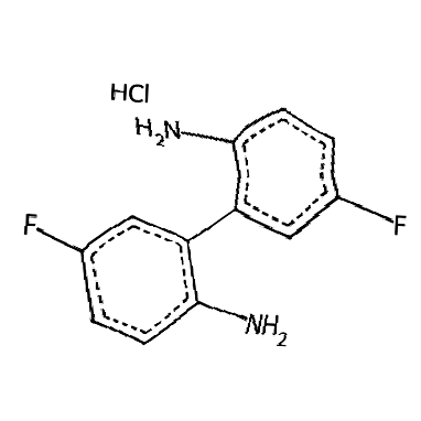 Cl.Nc1ccc(F)cc1-c1cc(F)ccc1N